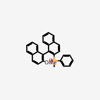 COc1ccc2ccccc2c1-c1c(P(C)(=O)c2ccccc2)ccc2ccccc12